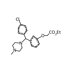 CCOC(=O)COc1cccc(C(c2ccc(Cl)cc2)N2CCN(C)CC2)c1